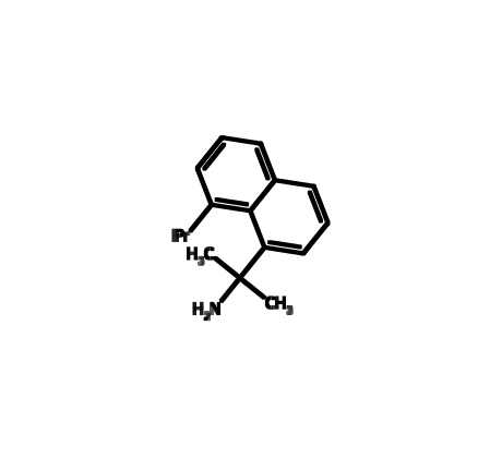 CC(C)c1cccc2cccc(C(C)(C)N)c12